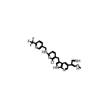 CN/C=C(\C=N)c1cnc2[nH]cc(Cc3ccc(NCc4ccc(C(F)(F)F)nc4)nc3Cl)c2c1